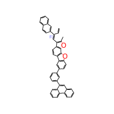 C=C/C(=C\c1c(C)oc2c1ccc1c3cc(-c4cccc(-c5cc6ccccc6c6ccccc56)c4)ccc3oc12)c1ccc2ccccc2c1